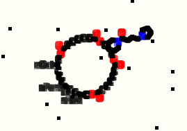 CCCCCCCCC1CCCC(CC)(CCCCC)CCC(CCCCCC)COC(=O)CCCCCC(=O)OCC2(CCN(C(=O)CCCN3CCCC3)CC2)COC(=O)CCCCCC(=O)OC1